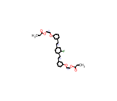 C=CC(=O)O/C=C\Oc1cccc(/C=C/c2ccc(/C=C/c3cccc(O/C=C\OC(=O)C=C)c3)c(F)c2)c1